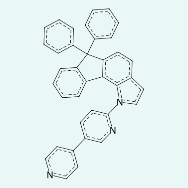 c1ccc(C2(c3ccccc3)c3ccccc3-c3c2ccc2ccn(-c4ccc(-c5ccncc5)cn4)c32)cc1